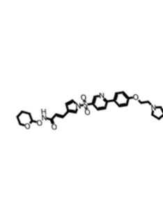 O=C(/C=C/c1ccn(S(=O)(=O)c2ccc(-c3ccc(OCCN4CCCC4)cc3)nc2)c1)NOC1CCCCO1